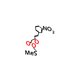 CSCCOC(=O)CC(=O)C=Cc1cccc([N+](=O)[O-])c1